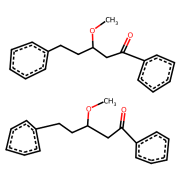 COC(CCc1ccccc1)CC(=O)c1ccccc1.COC(CCc1ccccc1)CC(=O)c1ccccc1